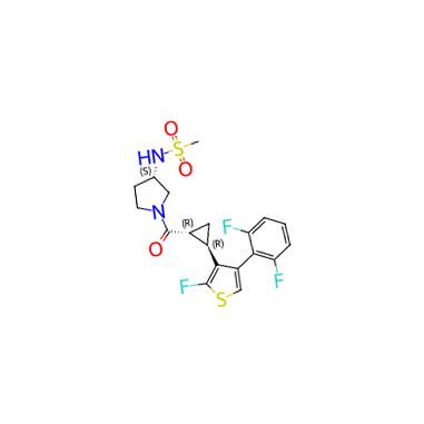 CS(=O)(=O)N[C@H]1CCN(C(=O)[C@@H]2C[C@H]2c2c(-c3c(F)cccc3F)csc2F)C1